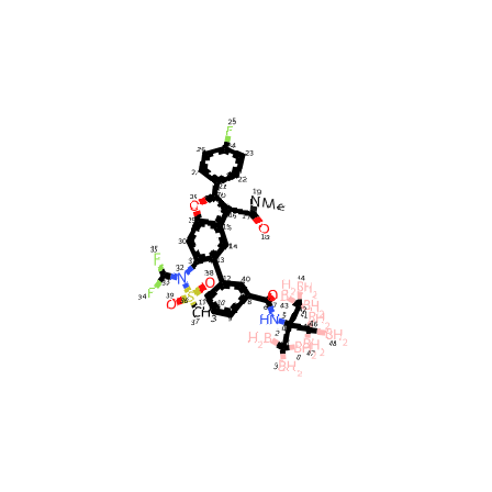 BC(B)(B)C(NC(=O)c1cccc(-c2cc3c(C(=O)NC)c(-c4ccc(F)cc4)oc3cc2N(C(F)F)S(C)(=O)=O)c1)(C(B)(B)B)C(B)(B)B